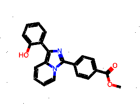 COC(=O)c1ccc(-c2nc(-c3ccccc3O)c3ccccn23)cc1